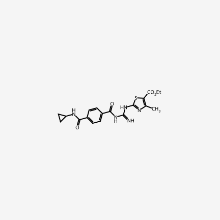 CCOC(=O)c1sc(NC(=N)NC(=O)c2ccc(C(=O)NC3CC3)cc2)nc1C